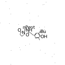 CCCCCC(NC(=O)CCc1cc(C)c(O)c(C(C)CC)c1)N1CCCC1=O